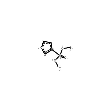 CCOP(=O)(OCC)c1ccsc1